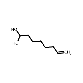 C=CCCCCCC(O)O